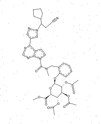 COC(=O)[C@H]1O[C@@H](Oc2ccccc2CN(C)C(=O)n2ccc3c(-c4cnn(C(CC#N)C5CCCC5)c4)ncnc32)[C@H](OC(C)=O)[C@@H](OC(C)=O)[C@@H]1OC(C)=O